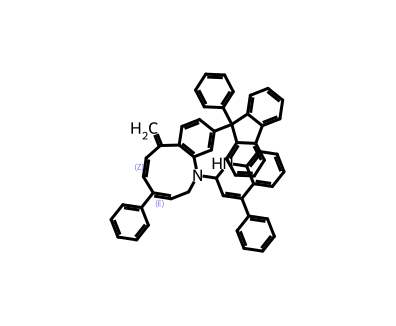 C=C1/C=C\C(c2ccccc2)=C/CN(C2C=C(c3ccccc3)c3ccccc3N2)c2cc(C3(c4ccccc4)c4ccccc4-c4ccccc43)ccc21